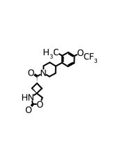 Cc1cc(OC(F)(F)F)ccc1C1CCN(C(=O)[C@H]2C[C@]3(COC(=O)N3)C2)CC1